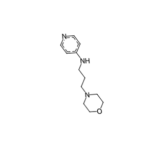 c1cc(NCCCN2CCOCC2)ccn1